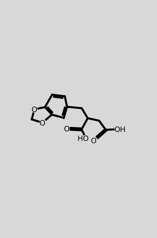 O=C(O)CC(Cc1ccc2c(c1)OCO2)C(=O)O